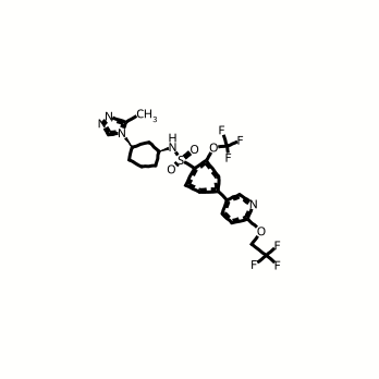 Cc1nncn1[C@@H]1CCC[C@H](NS(=O)(=O)c2ccc(-c3ccc(OCC(F)(F)F)nc3)cc2OC(F)(F)F)C1